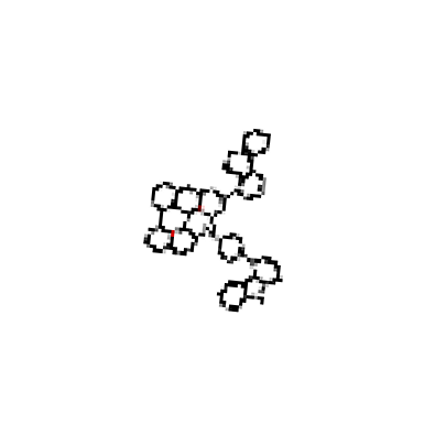 c1ccc(-c2cccc3cccc(-c4ccccc4N(c4ccc(-c5cccc6sc7ccccc7c56)cc4)c4cccc(-c5cccc6c5ccc5ccccc56)c4)c23)cc1